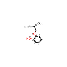 CCCCCCCCC(CCCCCC)COc1ccccc1O